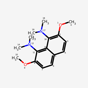 COc1ccc2ccc(OC)c(N(C)C)c2c1N(C)C